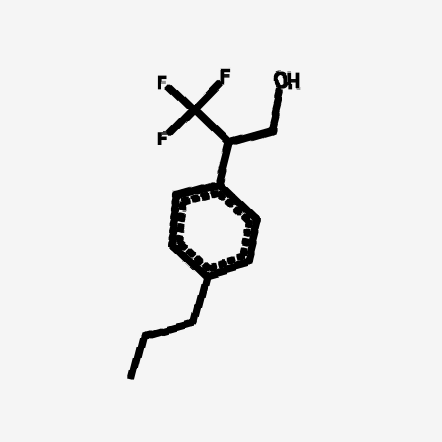 CCCc1ccc(C(CO)C(F)(F)F)cc1